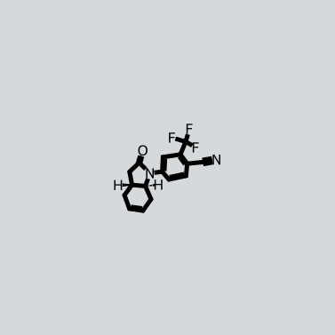 N#Cc1ccc(N2C(=O)C[C@H]3CC=CC[C@@H]32)cc1C(F)(F)F